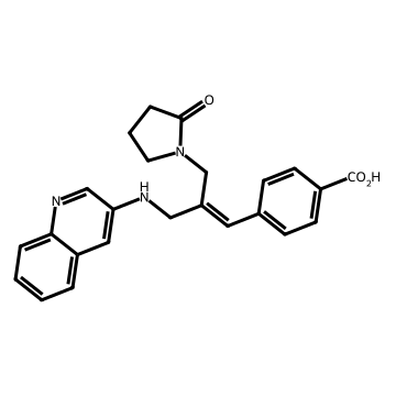 O=C(O)c1ccc(C=C(CNc2cnc3ccccc3c2)CN2CCCC2=O)cc1